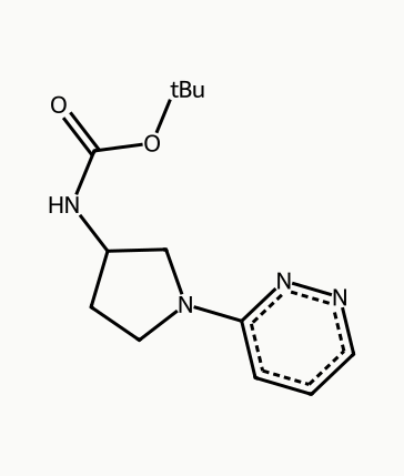 CC(C)(C)OC(=O)NC1CCN(c2cccnn2)C1